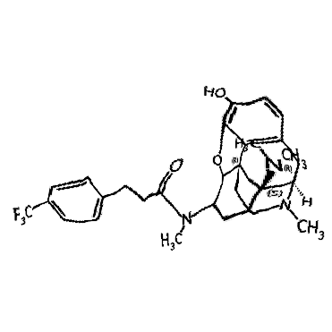 CN(C(=O)CCc1ccc(C(F)(F)F)cc1)C1CC[C@@]2(N(C)C)[C@H]3Cc4ccc(O)c5c4[C@@]2(CCN3C)C1O5